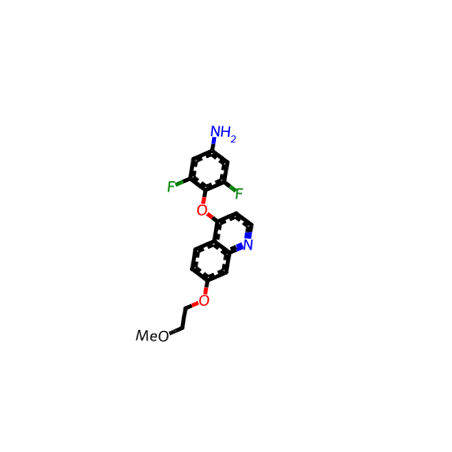 COCCOc1ccc2c(Oc3c(F)cc(N)cc3F)ccnc2c1